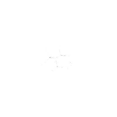 CC(O)N(C(=S)[S-])C(C)O.[Na+]